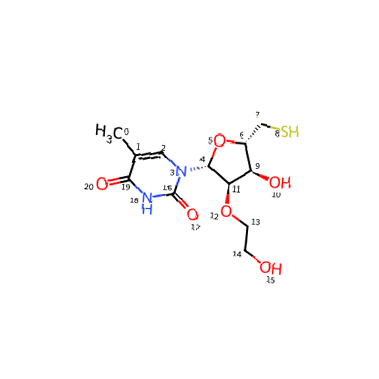 Cc1cn([C@@H]2O[C@H](CS)[C@@H](O)[C@H]2OCCO)c(=O)[nH]c1=O